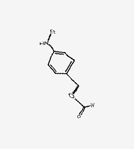 [2H]C(=O)OCc1ccc(NCC)cc1